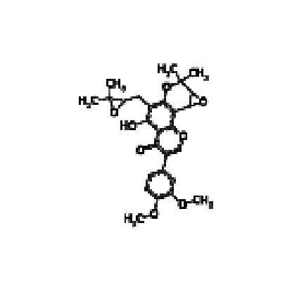 COc1ccc(-c2coc3c4c(c(CC5OC5(C)C)c(O)c3c2=O)OC(C)(C)C2OC42)cc1OC